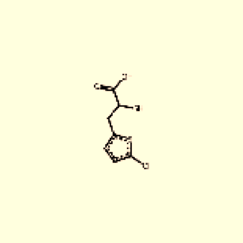 O=C(O)C(S)Cc1ccc(Cl)s1